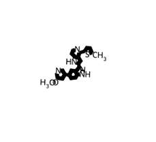 COc1cncc(-c2ccc3[nH]nc(-c4cc5c(-c6ccc(C)s6)nccc5[nH]4)c3c2)c1